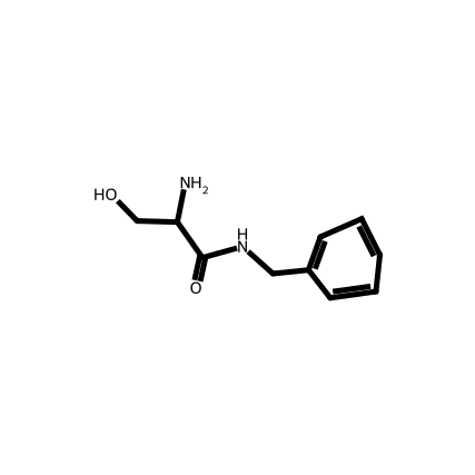 NC(CO)C(=O)NCc1ccccc1